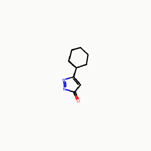 O=C1C=C(C2CCCCC2)N=N1